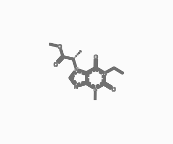 CCn1c(=O)c2c(ncn2[C@@H](C)C(=O)OC)n(C)c1=O